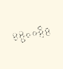 c1ccc2c(-c3c4ccccc4c(-c4ccc(-c5ccc(-c6c7ccccc7c(-c7cccc8ccccc78)c7ccccc67)cc5)cc4)c4ccccc34)cccc2c1